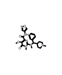 COc1c(C(=O)Nc2cnoc2)nc(N(C)C(c2ccccc2)C2CCN(C)CC2)n(C)c1=O